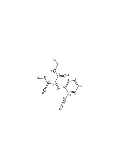 CCOC(=O)C(=Cc1ccccc1C#N)C(=O)CC